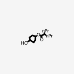 CCCC(CCC)C(=O)OC1CCC(O)CC1